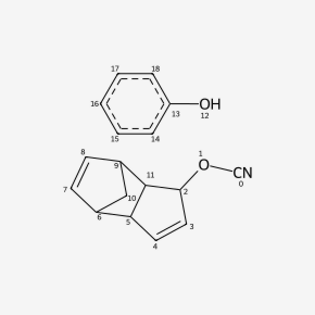 N#COC1C=CC2C3C=CC(C3)C12.Oc1ccccc1